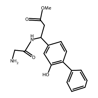 COC(=O)CC(NC(=O)CN)c1ccc(-c2ccccc2)c(O)c1